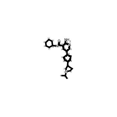 CC(C)N1CCC(c2ccc(-c3cnc(N)c(C(=O)NC4CCCCC4)c3)cc2)C1